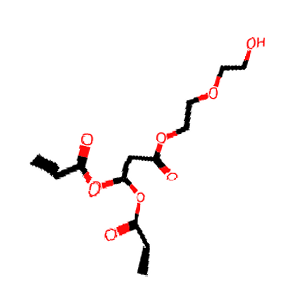 C=CC(=O)OC(CC(=O)OCCOCCO)OC(=O)C=C